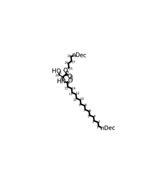 CCCCCCCCCCCCCCCCCCCCCCCCCC(=O)N[C@@H](CO)C(=O)OCCCCCCCCCCCCCC